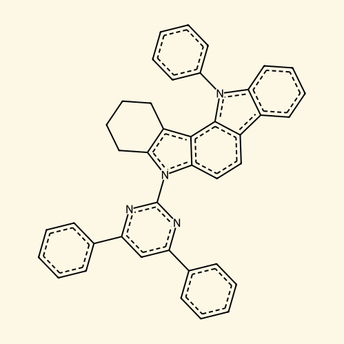 c1ccc(-c2cc(-c3ccccc3)nc(-n3c4c(c5c3ccc3c6ccccc6n(-c6ccccc6)c35)CCCC4)n2)cc1